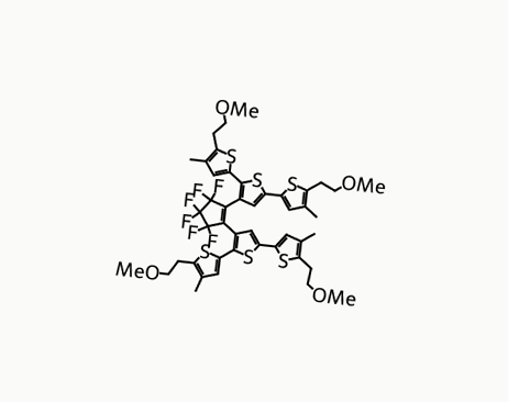 COCCc1sc(-c2cc(C3=C(c4cc(-c5cc(C)c(CCOC)s5)sc4-c4cc(C)c(CCOC)s4)C(F)(F)C(F)(F)C3(F)F)c(-c3cc(C)c(CCOC)s3)s2)cc1C